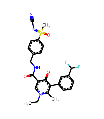 CCn1cc(C(=O)NCc2ccc(S(C)(=O)=NC#N)cc2)c(=O)c(-c2cccc(C(F)F)c2)c1C